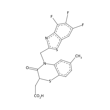 Cc1ccc2c(c1)N(Cc1nc3c(F)c(F)c(F)cc3s1)C(=O)C(CC(=O)O)S2